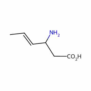 CC=CC(N)CC(=O)O